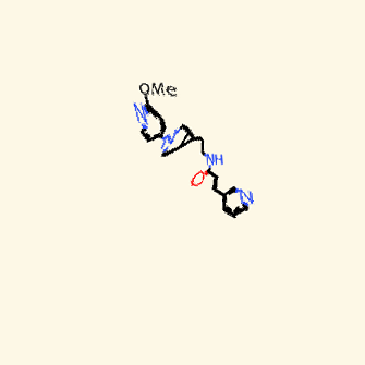 COc1cc(N2CC3C(CCNC(=O)/C=C/c4cccnc4)C3C2)ccn1